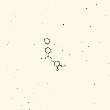 COc1cc(C=CC(=O)c2ccc(-c3ccccc3)cc2)ccc1O